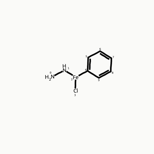 N[NH][Fe]([Cl])[c]1ccccc1